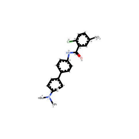 CCCCN(CCC)c1ccc(-c2ccc(NC(=O)c3cc([N+](=O)[O-])ccc3Cl)cc2)cc1